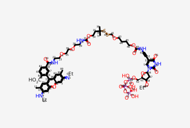 CC/N=c1/cc2oc3cc(NCC)c(C)cc3c(-c3cc(C(=O)NCCOCCOCCNC(=O)OCCC(C)(C)SSCOCCCCOC(=O)NC#Cc4cn([C@H]5CC(OCC)[C@@H](COP(=O)(O)OP(=O)(O)OP(=O)(O)O)O5)c(=O)[nH]c4=O)ccc3C(=O)O)c-2cc1C